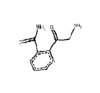 NCC(=O)c1ncccc1C(N)=O